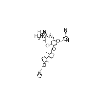 Cc1c(COc2cc(OCc3cncc(C#N)c3)c(CN(C)C/C(=N/N)NN)cc2Cl)cccc1-c1cccc(OCCCN2CCCC2)c1C